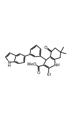 CCC1=C(C(=O)OC)C(c2cccc(-c3ccc4[nH]ccc4c3)c2)C2=C(CC(C)(C)CC2=O)N1